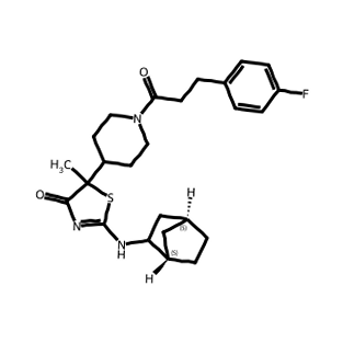 CC1(C2CCN(C(=O)CCc3ccc(F)cc3)CC2)SC(NC2C[C@H]3CC[C@H]2C3)=NC1=O